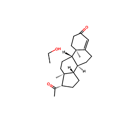 CC(=O)[C@H]1CC[C@H]2[C@@H]3CCC4=CC(=O)CC[C@]4(C)[C@H]3CC[C@]12C.CCO